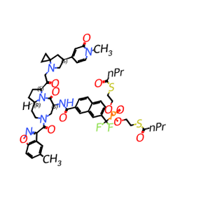 CCCC(=O)SCCOP(=O)(OCCSC(=O)CCC)C(F)(F)c1ccc2ccc(C(=O)N[C@H]3CN(C(=O)c4noc5ccc(C)cc45)CC[C@H]4CC[C@@H](C(=O)CN5C[C@H](c6ccn(C)c(=O)c6)CC56CC6)N4C3=O)cc2c1